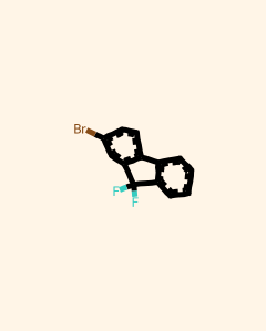 FC1(F)c2ccccc2-c2ccc(Br)cc21